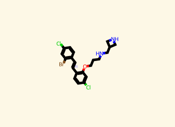 Clc1ccc(/C=C/c2ccc(Cl)cc2OCCCNCC2CNC2)c(Br)c1